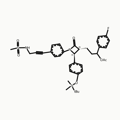 CC(=O)OC(CC[C@H]1C(=O)N(c2ccc(C#CCNS(C)(=O)=O)cc2)[C@@H]1c1ccc(O[Si](C)(C)C(C)(C)C)cc1)c1ccc(F)cc1